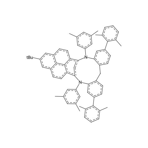 Cc1cc(C)cc(N2c3cc(-c4c(C)cccc4C)ccc3Cc3ccc(-c4c(C)cccc4C)cc3N(c3cc(C)cc(C)c3)c3cc2c2ccc4cc(C(C)(C)C)cc5ccc3c2c45)c1